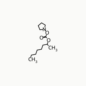 CCCCCCC(C)OC(=O)ON1CCCC1